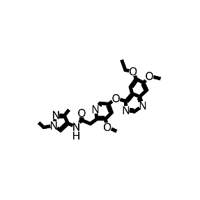 CCOc1cc2c(Oc3cnc(CC(=O)Nc4cn(CC)nc4C)c(OC)c3)ncnc2cc1OC